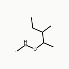 [CH2]NOC(C)C(C)CC